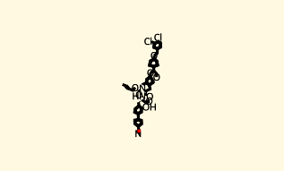 CC#CCOC(=O)N1Cc2cc3c(cc2C[C@H]1C(=O)N[C@@H](Cc1ccc(-c2ccc(C#N)cc2)cc1)C(=O)O)OCC(c1ccc(OCc2ccc(Cl)c(Cl)c2)cc1)O3